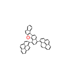 c1ccc2c(c1)ccc1oc3c(ccc4c(-c5ccc6ccc7cccc8ccc5c6c78)ccc(-c5ccc6ccc7cccc8ccc5c6c78)c43)c12